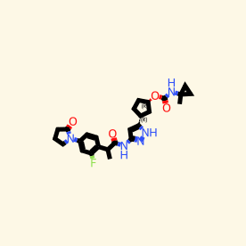 CC(C(=O)Nc1cc([C@@H]2CC[C@@H](OC(=O)NC3(C)CC3)C2)[nH]n1)c1ccc(N2CCCC2=O)cc1F